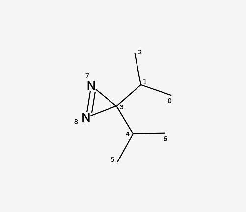 CC(C)C1(C(C)C)N=N1